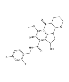 COc1c2n3c(c(C(=O)NCc4ccc(F)cc4F)c1=O)C(O)CC3C1OCCCN1C2=O